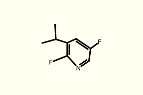 CC(C)c1cc(F)cnc1F